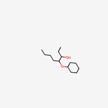 CCCCC(OC1CCCCC1)C(O)CC